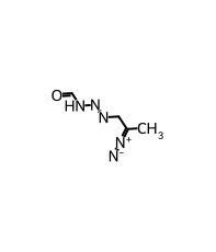 CC(CN=NNC=O)=[N+]=[N-]